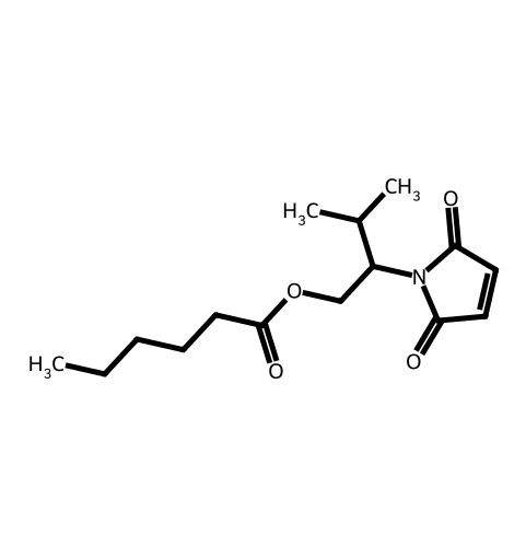 CCCCCC(=O)OCC(C(C)C)N1C(=O)C=CC1=O